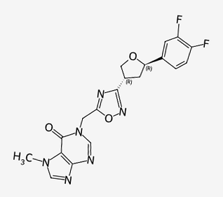 Cn1cnc2ncn(Cc3nc([C@@H]4CO[C@@H](c5ccc(F)c(F)c5)C4)no3)c(=O)c21